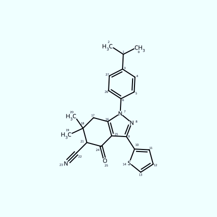 CC(C)c1ccc(-n2nc(-c3cccs3)c3c2CC(C)(C)C(C#N)C3=O)cc1